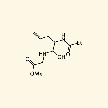 C=CCC(NC(=O)CC)C(O)NCC(=O)OC